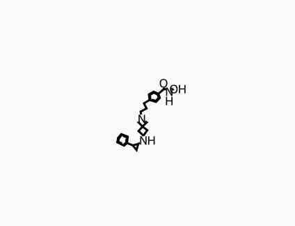 O=C(NO)c1ccc(CCCN2CC3(CC(NC4CC4c4ccccc4)C3)C2)cc1